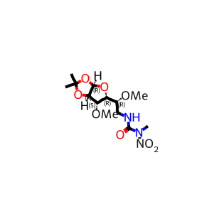 CO[C@@H]1[C@H]2OC(C)(C)O[C@H]2O[C@@H]1[C@@H](CNC(=O)N(C)[N+](=O)[O-])OC